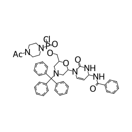 CC(=O)N1CCN(P(=O)(Cl)OCC2CN(C(c3ccccc3)(c3ccccc3)c3ccccc3)CC(N3C=CC(NC(=O)c4ccccc4)NC3=O)O2)CC1